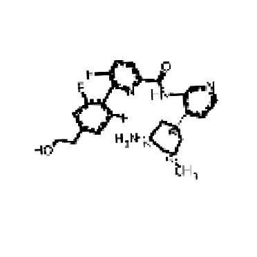 C[C@@H]1C[C@H](N)C[C@H](c2ccncc2NC(=O)c2ccc(F)c(-c3c(F)cc(CCO)cc3F)n2)C1